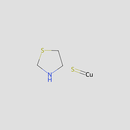 C1CSCN1.[S]=[Cu]